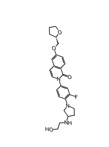 O=c1c2ccc(OC[C@H]3CCCO3)cc2ccn1-c1ccc(N2CCC(NCCO)C2)c(F)c1